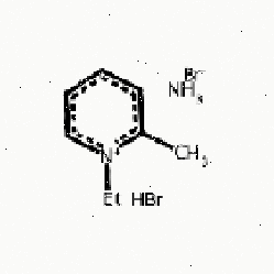 Br.CC[n+]1ccccc1C.N.[Br-]